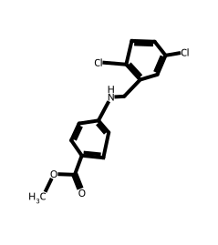 COC(=O)c1ccc(NCc2cc(Cl)ccc2Cl)cc1